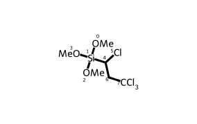 CO[Si](OC)(OC)C(Cl)CC(Cl)(Cl)Cl